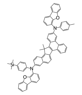 Cc1ccc(N(c2ccc3c4c(c5ccccc5c3c2)-c2ccc3cc(N(c5ccc([Si](C)(C)C)cc5)c5cccc6c5oc5ccccc56)ccc3c2C4(C)C)c2cccc3c2oc2ccccc23)cc1